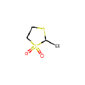 CCC1SCCS1(=O)=O